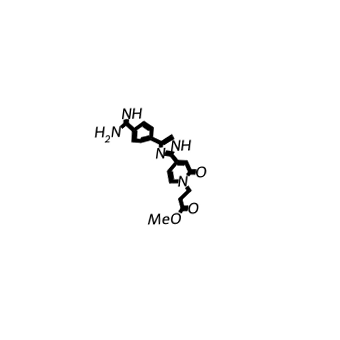 COC(=O)CCn1ccc(-c2nc(-c3ccc(C(=N)N)cc3)c[nH]2)cc1=O